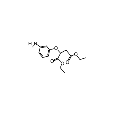 CCOC(=O)CC(Oc1cccc(N)c1)C(=O)OCC